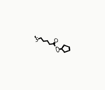 CSCCCCC(=O)OC1CCCC1